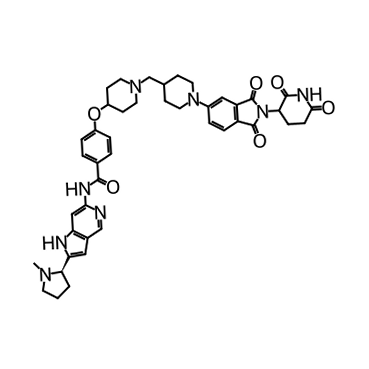 CN1CCC[C@@H]1c1cc2cnc(NC(=O)c3ccc(OC4CCN(CC5CCN(c6ccc7c(c6)C(=O)N(C6CCC(=O)NC6=O)C7=O)CC5)CC4)cc3)cc2[nH]1